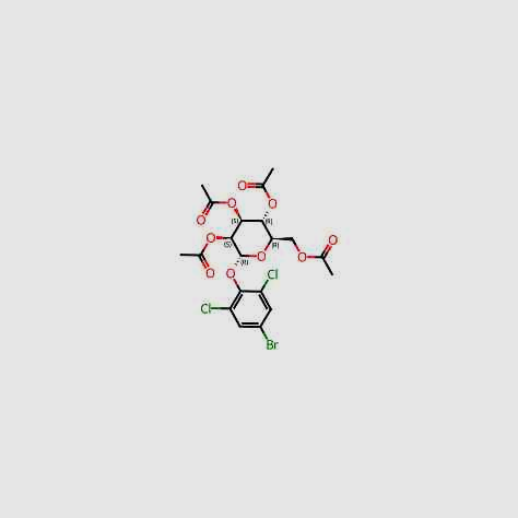 CC(=O)OC[C@H]1O[C@H](Oc2c(Cl)cc(Br)cc2Cl)[C@@H](OC(C)=O)[C@@H](OC(C)=O)[C@@H]1OC(C)=O